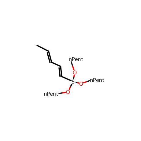 CC=CC=C[Si](OCCCCC)(OCCCCC)OCCCCC